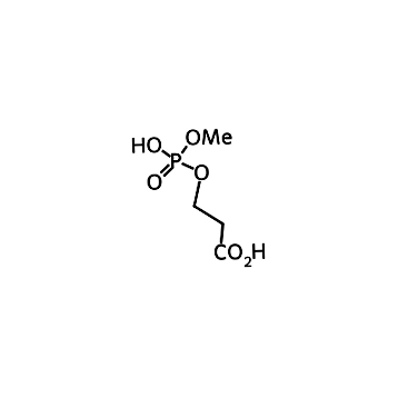 COP(=O)(O)OCCC(=O)O